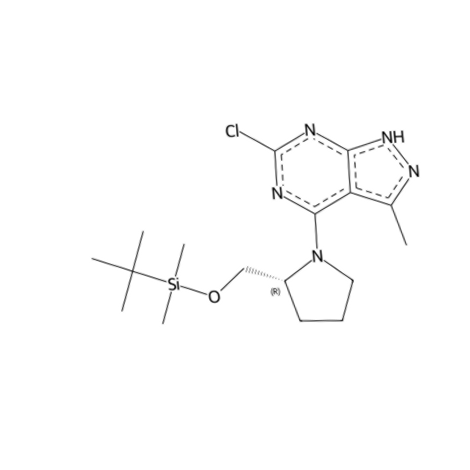 Cc1n[nH]c2nc(Cl)nc(N3CCC[C@@H]3CO[Si](C)(C)C(C)(C)C)c12